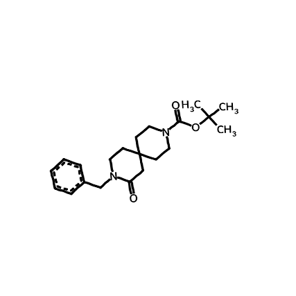 CC(C)(C)OC(=O)N1CCC2(CCN(Cc3ccccc3)C(=O)C2)CC1